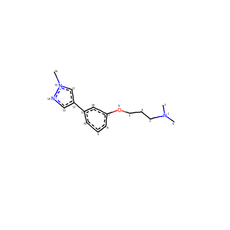 CN(C)CCCOc1c[c]cc(-c2cnn(C)c2)c1